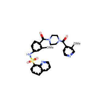 COc1cnccc1C(=O)N1CCN(C(=O)c2ccc(NS(=O)(=O)c3cccc4cccnc34)cc2OC)CC1